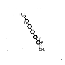 C/C=C/C1CCC(C2CCC(C3CCC(c4ccc(-c5ccc(OCC)c(F)c5F)cc4)CC3)CC2)OC1